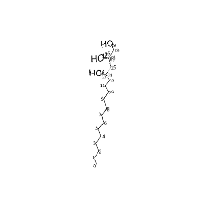 CCCCCCCCCCCCC[C@@H](O)C[C@@H](O)CO